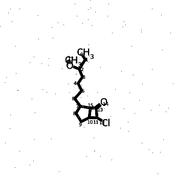 CCC(CCCCC1CCC2C(Cl)C(=O)C12)OC